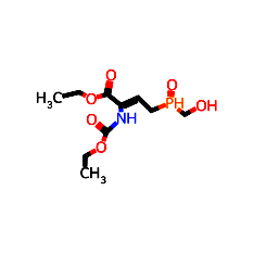 CCOC(=O)N/C(=C\C[PH](=O)CO)C(=O)OCC